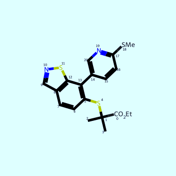 CCOC(=O)C(C)(C)Sc1ccc2cnsc2c1-c1ccc(SC)nc1